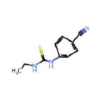 CCNC(=S)Nc1ccc(C#N)cc1